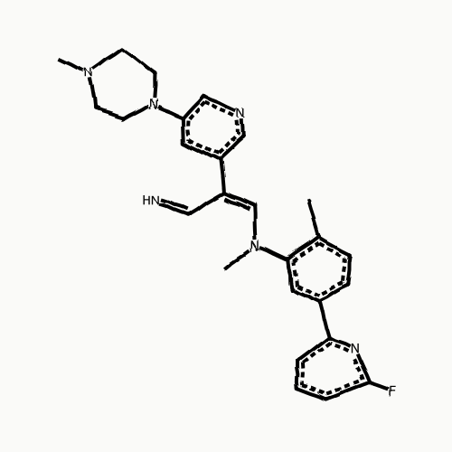 Cc1ccc(-c2cccc(F)n2)cc1N(C)/C=C(\C=N)c1cncc(N2CCN(C)CC2)c1